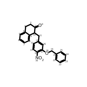 O=C1CCc2ccccc2C1Cc1ccc([N+](=O)[O-])c(OCc2ccccc2)c1